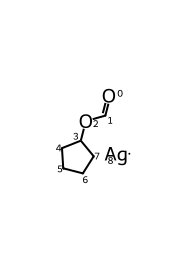 O=COC1CCCC1.[Ag]